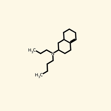 CCCCN(CCC)C1CCC2=CCCCC2C1